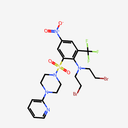 O=[N+]([O-])c1cc(C(F)(F)F)c(N(CCBr)CCBr)c(S(=O)(=O)N2CCN(c3ccccn3)CC2)c1